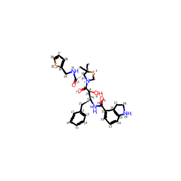 CC1(C)SCN(C(=O)[C@@H](O)[C@H](Cc2ccccc2)NC(=O)c2cccc3c2CCN3)[C@@H]1C(=O)NCc1cccs1